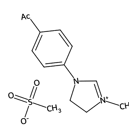 CC(=O)c1ccc(N2C=[N+](C)CC2)cc1.CS(=O)(=O)[O-]